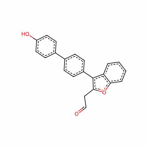 O=CCc1oc2ccccc2c1-c1ccc(-c2ccc(O)cc2)cc1